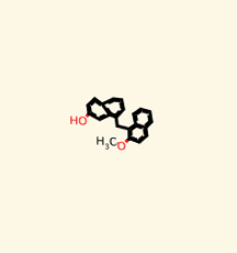 COc1ccc2ccccc2c1Cc1cccc2ccc(O)cc12